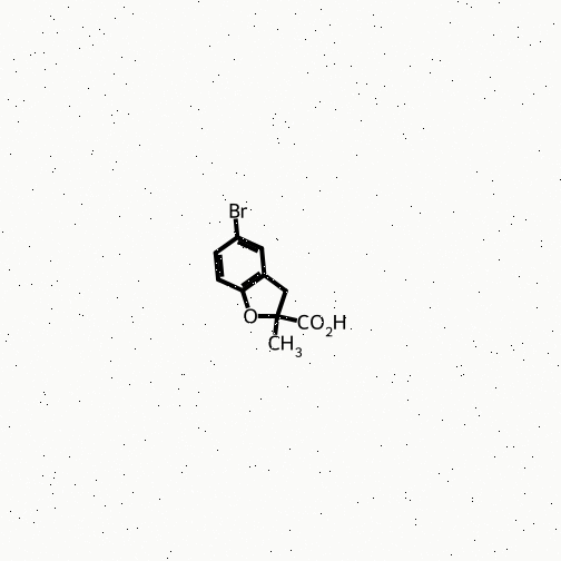 CC1(C(=O)O)Cc2cc(Br)ccc2O1